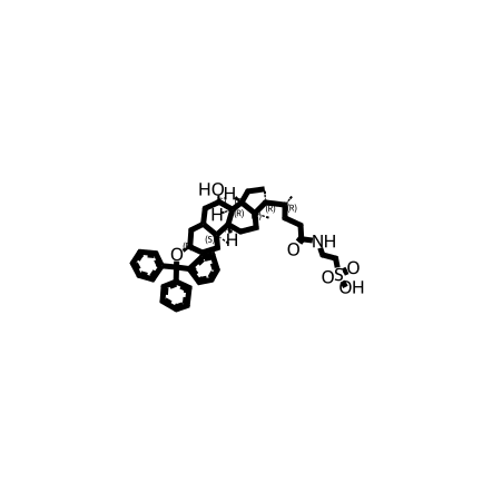 C[C@H](CCC(=O)NCCS(=O)(=O)O)[C@H]1CC[C@H]2[C@@H]3[C@@H](O)CC4C[C@H](OC(c5ccccc5)(c5ccccc5)c5ccccc5)CC[C@]4(C)[C@H]3CC[C@]12C